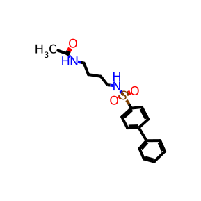 CC(=O)NCCCCNS(=O)(=O)c1ccc(-c2ccccc2)cc1